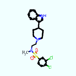 CN(CCN1CCC(c2c[nH]c3ccccc23)CC1)S(=O)(=O)c1ccc(Cl)c(Cl)c1